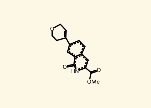 COC(=O)c1cc2ccc(C3=CCOCC3)cc2c(=O)[nH]1